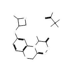 CC1NCC1Nc1ccc2c(c1)N1C(=NNC(=O)C1C)CO2.O=C(O)C(F)(F)F